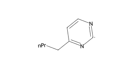 CCCCc1ccn[c]n1